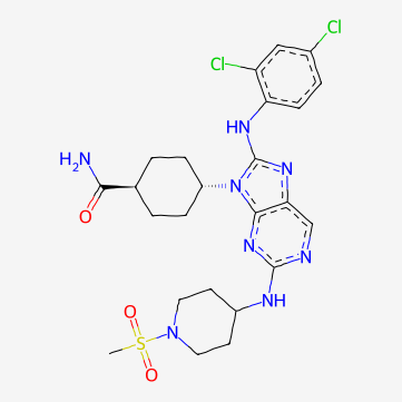 CS(=O)(=O)N1CCC(Nc2ncc3nc(Nc4ccc(Cl)cc4Cl)n([C@H]4CC[C@H](C(N)=O)CC4)c3n2)CC1